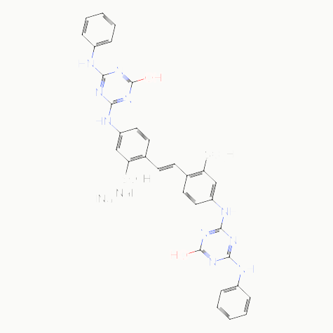 O=S(=O)(O)c1cc(Nc2nc(O)nc(Nc3ccccc3)n2)ccc1C=Cc1ccc(Nc2nc(O)nc(Nc3ccccc3)n2)cc1S(=O)(=O)O.[NaH].[NaH]